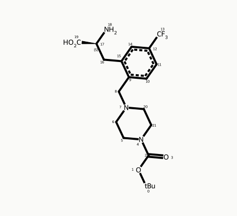 CC(C)(C)OC(=O)N1CCN(Cc2ccc(C(F)(F)F)cc2C[C@H](N)C(=O)O)CC1